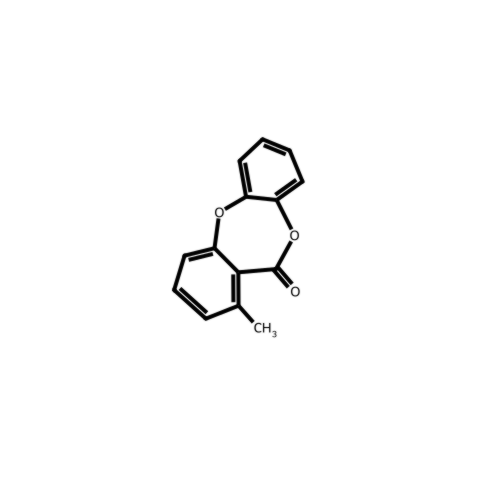 Cc1cccc2c1C(=O)Oc1ccccc1O2